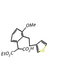 CCOC(=O)C(C(=O)O)c1cccc(OC)c1CCc1ccsc1